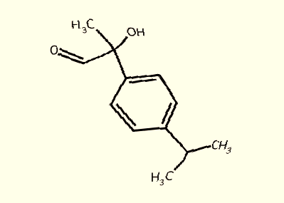 CC(C)c1ccc(C(C)(O)C=O)cc1